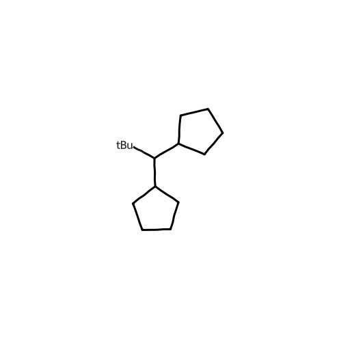 [CH2]C(C)(C)C(C1CCCC1)C1CCCC1